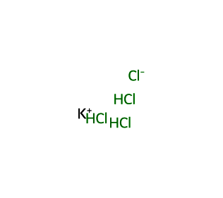 Cl.Cl.Cl.[Cl-].[K+]